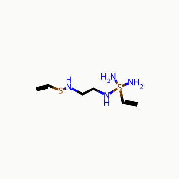 C=CSNCCNS(N)(N)C=C